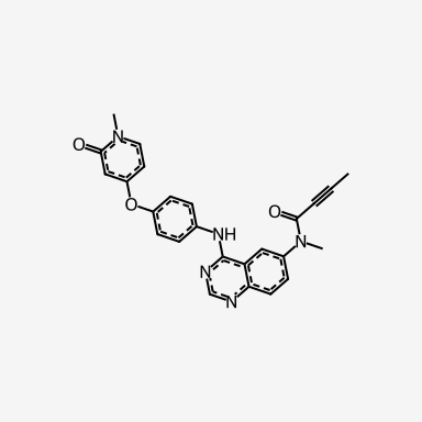 CC#CC(=O)N(C)c1ccc2ncnc(Nc3ccc(Oc4ccn(C)c(=O)c4)cc3)c2c1